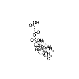 CC1=CC(=O)C=C2CC[C@@H]3[C@H](C(O)C[C@@]4(C)[C@H]3CC[C@]4(O)C(=O)COC(=O)CCC(=O)O)[C@@]12C